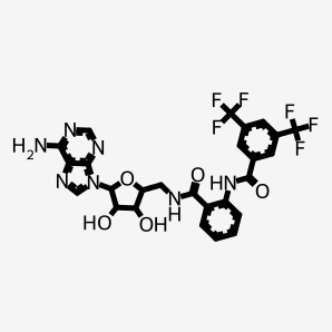 Nc1ncnc2c1ncn2C1OC(CNC(=O)c2ccccc2NC(=O)c2cc(C(F)(F)F)cc(C(F)(F)F)c2)C(O)C1O